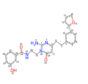 Nc1nc(CCc2cccc(-c3ccco3)c2)cc(=O)n1CCNC(=O)c1cccc(O)c1